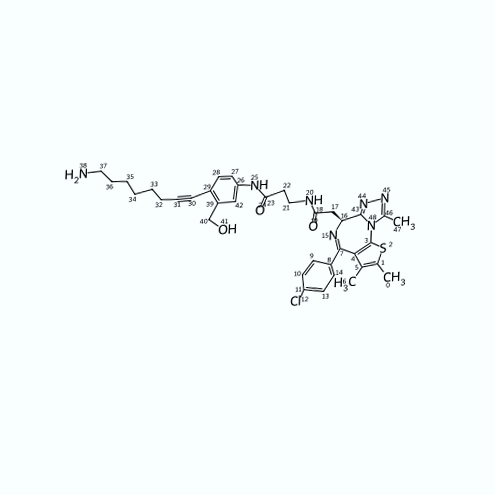 Cc1sc2c(c1C)C(c1ccc(Cl)cc1)=N[C@@H](CC(=O)NCCC(=O)Nc1ccc(C#CCCCCCCN)c(CO)c1)c1nnc(C)n1-2